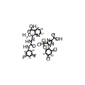 C/C(=N\NC(=O)Nc1cc(F)cc(F)c1)c1ncccc1C(=O)O.O=C(O)c1nc(C(Cl)(Cl)Cl)n(-c2ccc(Cl)cc2Cl)n1